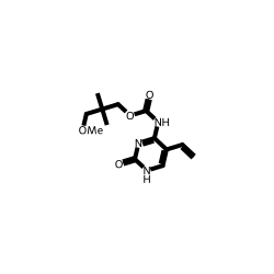 C=Cc1c[nH]c(=O)nc1NC(=O)OCC(C)(C)COC